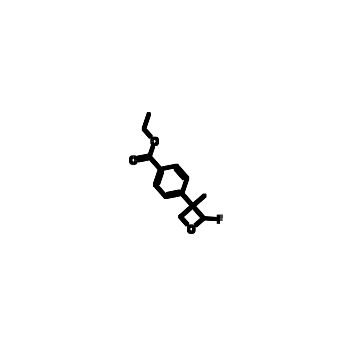 CCOC(=O)c1ccc(C2(C)COC2F)cc1